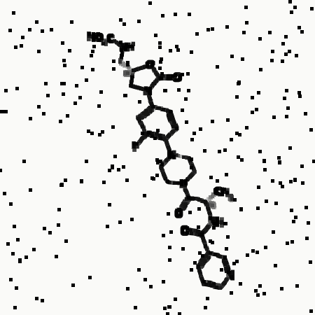 C[C@H](NC(=O)c1cccnc1)C(=O)N1CCN(c2ccc(N3C[C@H](CNC(=O)O)OC3=O)cc2F)CC1